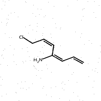 C=C/C=C(N)\C=C/CCl